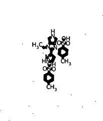 CCn1c(-c2cc[nH]n2)nc2c1CNC2.Cc1ccc(S(=O)(=O)O)cc1.Cc1ccc(S(=O)(=O)O)cc1